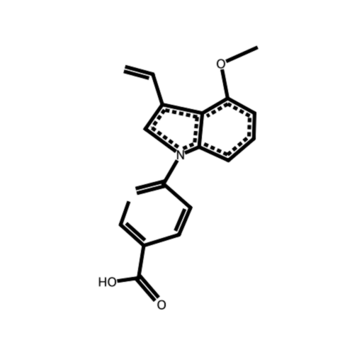 C=Cc1cn(C(=C)/C=C\C(=C/C)C(=O)O)c2cccc(OC)c12